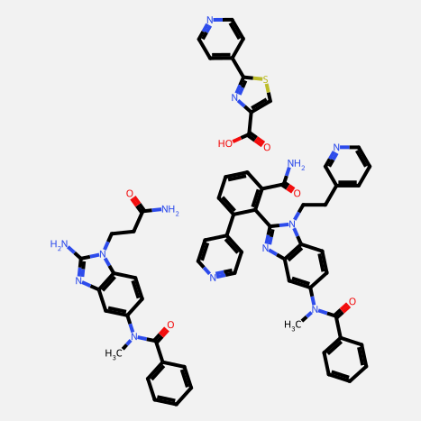 CN(C(=O)c1ccccc1)c1ccc2c(c1)nc(-c1c(C(N)=O)cccc1-c1ccncc1)n2CCc1cccnc1.CN(C(=O)c1ccccc1)c1ccc2c(c1)nc(N)n2CCC(N)=O.O=C(O)c1csc(-c2ccncc2)n1